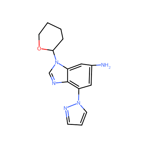 Nc1cc(-n2cccn2)c2ncn(C3CCCCO3)c2c1